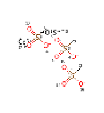 CS(=O)(=O)O.CS(=O)(=O)[O-].CS(=O)(=O)[O-].CS(=O)(=O)[O-].[Ce+3]